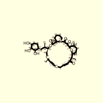 C[C@@H]1/C=C/CC/C=C/C(=O)[C@H](C)[C@@H]2CC[C@@H](C)[C@@](O)(O2)C(=O)C(=O)N2CCCC[C@H]2C(=O)O[C@H]([C@H](C)C[C@@H]2CC[C@@H](O)[C@H](O)[C@H]2O)CC1